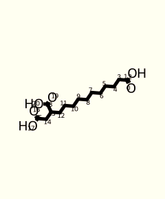 O=C(O)CCCCCCCCCCC(CC(=O)O)C(=O)O